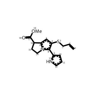 C=CCSc1cc2n(c1-c1ccc[nH]1)CCC2C(=O)OC